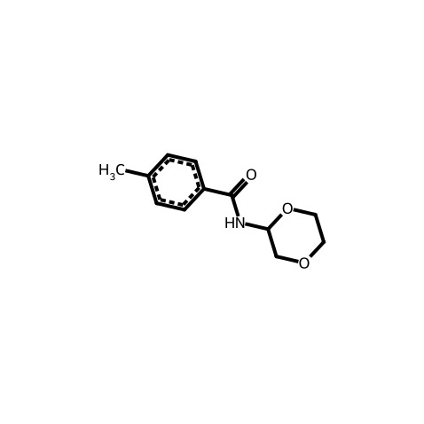 Cc1ccc(C(=O)NC2COCCO2)cc1